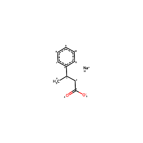 CC(CC(=O)[O-])c1ccccc1.[Na+]